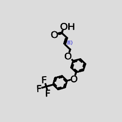 O=C(O)/C=C/COc1cccc(Oc2ccc(C(F)(F)F)cc2)c1